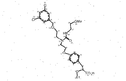 CCOC(Cc1ccc(OCCN(CCOCc2cc(Cl)cc(Cl)c2)C(=O)NCCOC)cc1)C(=O)O